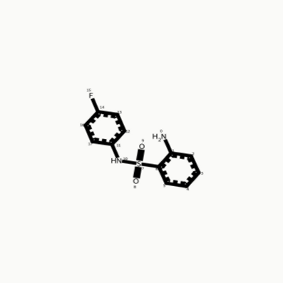 Nc1ccccc1S(=O)(=O)Nc1ccc(F)cc1